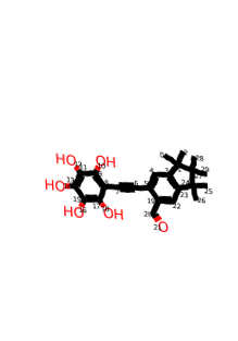 CC1(C)c2cc(C#Cc3c(O)c(O)c(O)c(O)c3O)c(C=O)cc2C(C)(C)C1(C)C